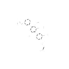 COc1cc(-c2cccc(NS(C)(=O)=O)c2)c(OC)c(O)c1-c1ccc(OCC=C(C)C)c(O)c1